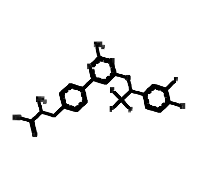 Nc1nc(OC(c2ccc(Cl)c(F)c2)C(F)(F)F)cc(-c2ccc(CC(N)C(=O)O)cc2)n1